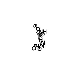 COc1ccc2c(c1)CCN(C1CCN(c3cc(C(=O)N4CCC5CCCCC54)ncn3)CC1)C(=O)N2